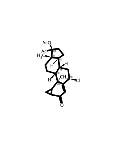 CC(=O)O[C@@]1(C(C)=O)CC[C@H]2[C@@H]3C[C@@H](Cl)C4=CC(=O)C5CC5[C@@]4(C)[C@@H]3CC[C@@]21C